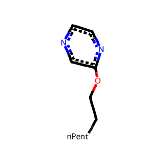 CCCCCCCOc1cnccn1